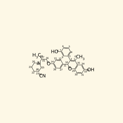 CC1=C(c2cccc(O)c2)C(c2ccc(OC[C@H](C)N3CCC[C@@H](C#N)C3)cc2)Oc2ccc(O)cc21